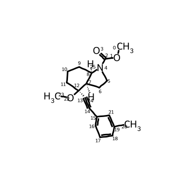 COC(=O)N1CC[C@@H]2[C@H]1CCC[C@]2(C#Cc1cccc(C)c1)OC